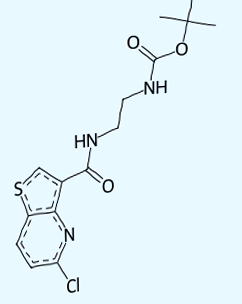 CC(C)(C)OC(=O)NCCNC(=O)c1csc2ccc(Cl)nc12